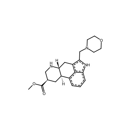 COC(=O)[C@H]1CN[C@@H]2Cc3c(CN4CCOCC4)[nH]c4cccc(c34)[C@H]2C1